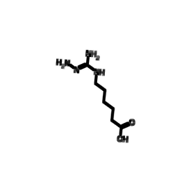 NN=C(N)NCCCCCC(=O)O